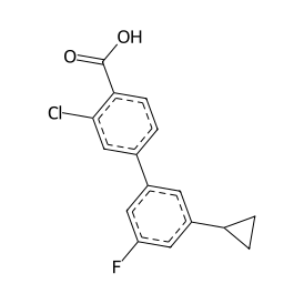 O=C(O)c1ccc(-c2cc(F)cc(C3CC3)c2)cc1Cl